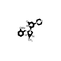 COc1ccccc1C[C@H]1[C@@H]2[C@H](C)[C@@H]2CN1c1cc(N2CCOCC2)cc(=O)[nH]1